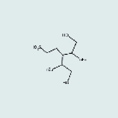 CCCCC(CO)N(CCS(=O)(=O)O)C(CO)CCCC